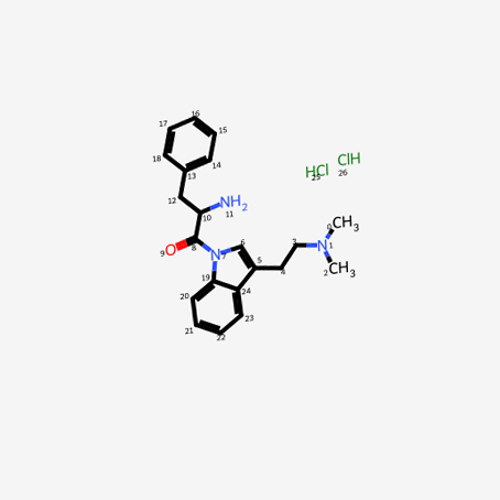 CN(C)CCc1cn(C(=O)C(N)Cc2ccccc2)c2ccccc12.Cl.Cl